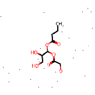 CCCC(=O)OC(OC(=O)C[O])C(O)CO